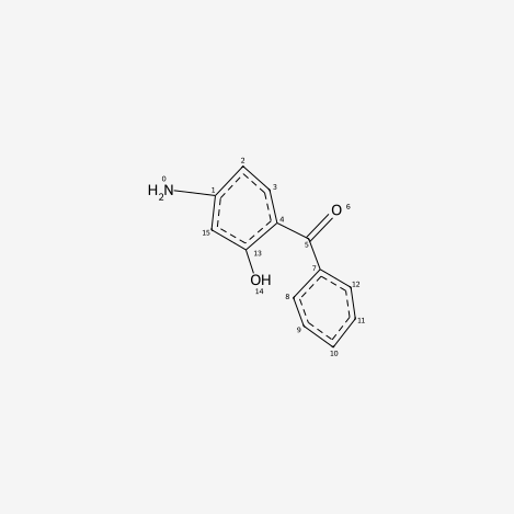 Nc1ccc(C(=O)c2ccccc2)c(O)c1